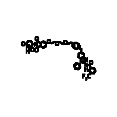 O=C1CCC(N2C(=O)c3ccc(OCCOCCOCCN4CCN(Cc5ccc6c(c5)nc(NC(=O)c5cccc(C(F)(F)F)c5)n6-c5ccccc5)CC4)cc3C2=O)C(=O)N1